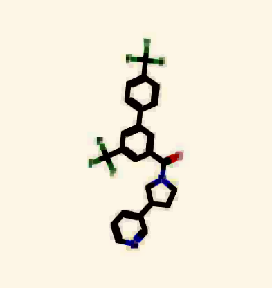 O=C(c1cc(-c2ccc(C(F)(F)F)cc2)cc(C(F)(F)F)c1)N1CCC(c2cccnc2)C1